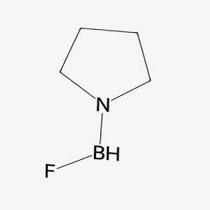 FBN1CCCC1